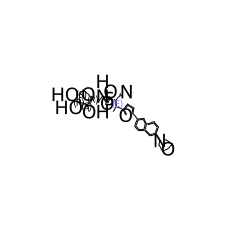 C/C(=C(/C#N)S(=O)(=O)NC[C@H]1OC[C@H](O)[C@@H](O)[C@@H]1O)c1ccc(-c2ccc3cc(N4CCOCC4)ccc3c2)o1